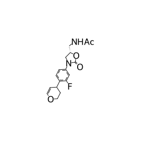 CC(=O)NC[C@H]1CN(c2ccc(C3C=COCC3)c(F)c2)C(=O)O1